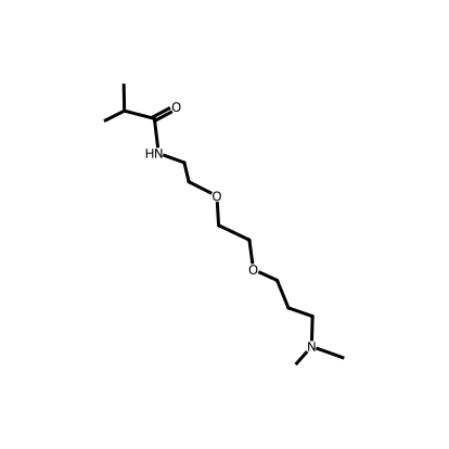 CC(C)C(=O)NCCOCCOCCCN(C)C